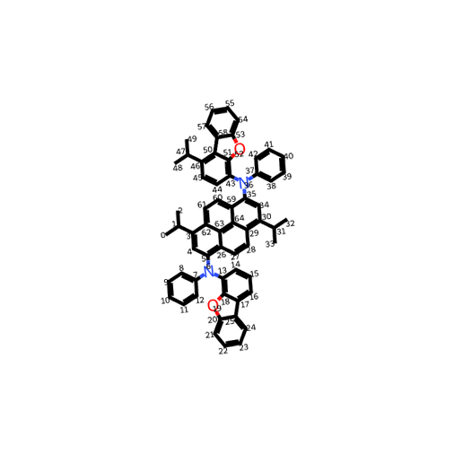 CC(C)c1cc(N(c2ccccc2)c2cccc3c2oc2ccccc23)c2ccc3c(C(C)C)cc(N(c4ccccc4)c4ccc(C(C)C)c5c4oc4ccccc45)c4ccc1c2c34